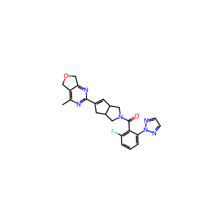 Cc1nc(C2=CC3CN(C(=O)c4c(F)cccc4-n4nccn4)CC3C2)nc2c1COC2